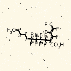 O=C(O)C(=C(F)C(F)=C(F)C(F)(F)F)C(F)(F)C(F)(F)C(F)(F)C(F)(F)CCCCC(F)(F)F